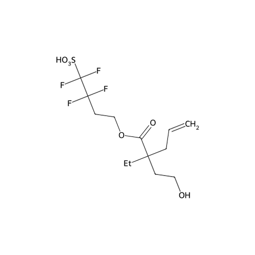 C=CCC(CC)(CCO)C(=O)OCCC(F)(F)C(F)(F)S(=O)(=O)O